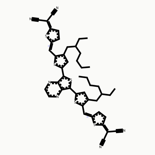 CCCCC(CC)Cc1cc(-c2sc(-c3cc(CC(CC)CCCC)c(/C=c4\ccc(=C(C#N)C#N)s4)s3)c3nccnc23)sc1/C=c1\ccc(=C(C#N)C#N)s1